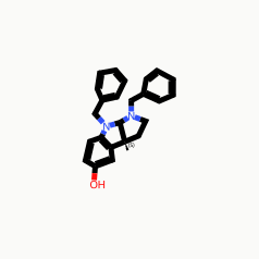 C[C@@]12CCN(Cc3ccccc3)C1N(Cc1ccccc1)c1ccc(O)cc12